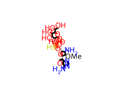 CO[C@@H]1[C@H](N)[C@@H](COP(=O)(S)OP(=O)(O)OC2OC([C@@H](O)CO)C(O)C(O)C2O)O[C@H]1c1coc2c(N)ncnc12